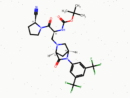 CC(C)(C)OC(=O)N[C@@H](CN1C[C@@H]2C[C@H]1C(=O)N2c1cc(C(F)(F)F)cc(C(F)(F)F)c1)C(=O)N1CCC[C@H]1C#N